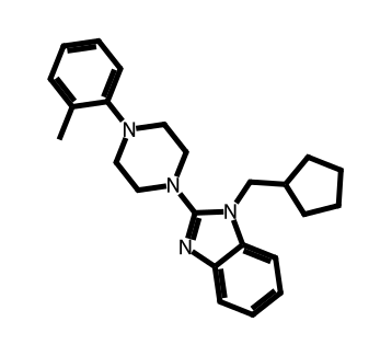 Cc1ccccc1N1CCN(c2nc3ccccc3n2CC2CCCC2)CC1